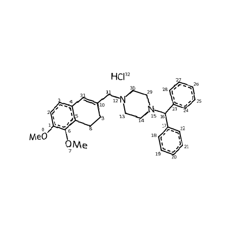 COc1ccc2c(c1OC)CCC(CN1CCN(C(c3ccccc3)c3ccccc3)CC1)=C2.Cl